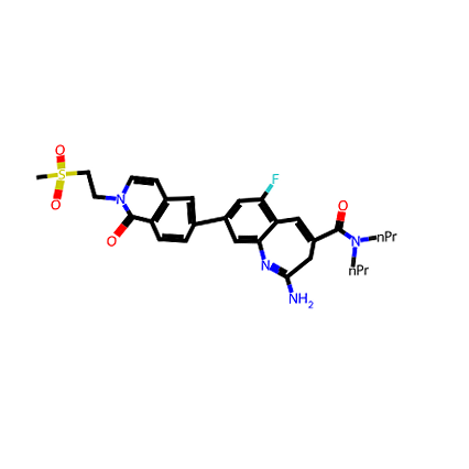 CCCN(CCC)C(=O)C1=Cc2c(F)cc(-c3ccc4c(=O)n(CCS(C)(=O)=O)ccc4c3)cc2N=C(N)C1